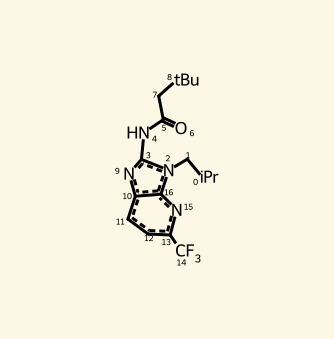 CC(C)Cn1c(NC(=O)CC(C)(C)C)nc2ccc(C(F)(F)F)nc21